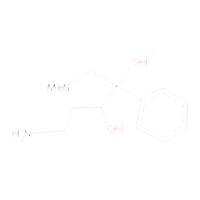 CNCC(O)(c1ccccc1)C(O)CCN